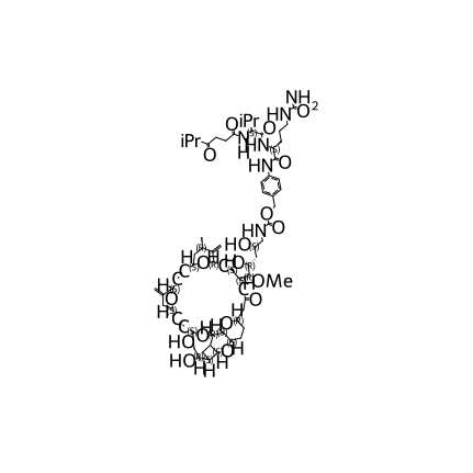 C=C1C[C@@H]2CC[C@@]3(O)C[C@@H](O)[C@@H]4CC5[C@H]4O[C@H]4CC[C@H](CC(=O)C[C@@H]6[C@@H](OC)[C@@H](C[C@H](O)CNC(=O)OCc7ccc(NC(=O)[C@H](CCCNC(N)=O)NC(=O)[C@@H](NC(=O)CCC(=O)C(C)C)C(C)C)cc7)O[C@H]6C[C@H]6O[C@@H](CC[C@@H]1O2)C[C@@H](C)C6=C)O[C@@H]4[C@@H]5O3